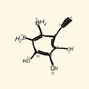 Bc1c(B)c(C#C)c(O)c(O)c1O